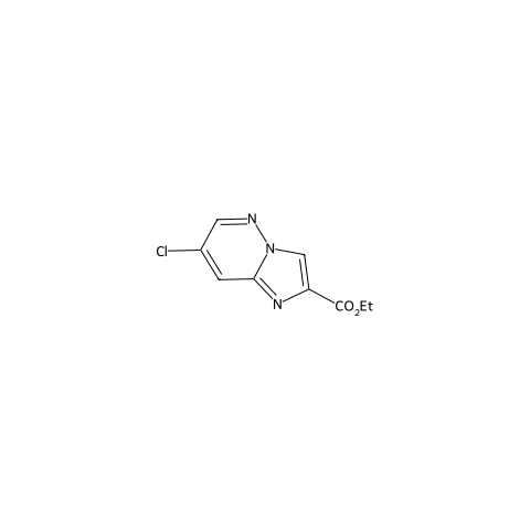 CCOC(=O)c1cn2ncc(Cl)cc2n1